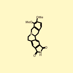 COc1ccc2c(c1OC)CN1CCc3cc4c(cc3C1C2)C(=O)NC4=O